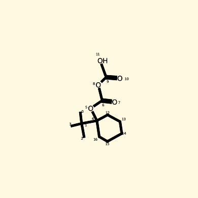 CC(C)(C)C1(OC(=O)OC(=O)O)CCCCC1